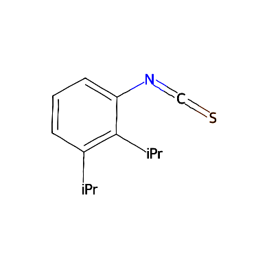 CC(C)c1cccc(N=C=S)c1C(C)C